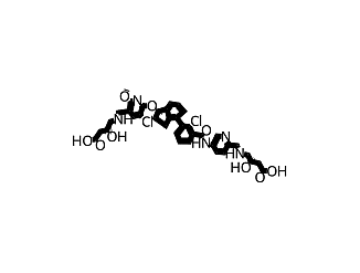 COc1nc(O[C@H]2CCc3c(-c4cccc(C(=O)Nc5ccc(CNC[C@@H](O)CC(=O)O)nc5)c4Cl)cccc32)c(Cl)cc1CNC[C@@H](O)CC(=O)O